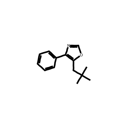 CC(C)(C)Cc1ocnc1-c1ccccc1